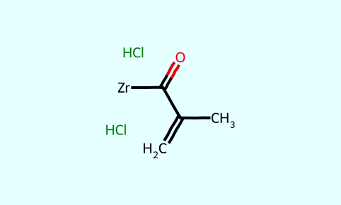 C=C(C)[C](=O)[Zr].Cl.Cl